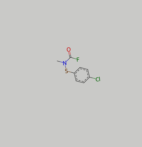 CN(Sc1ccc(Cl)cc1)C(=O)F